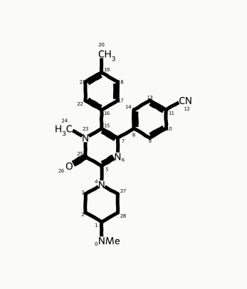 CNC1CCN(c2nc(-c3ccc(C#N)cc3)c(-c3ccc(C)cc3)n(C)c2=O)CC1